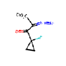 CCOC(=O)C(=[N+]=[N-])C(=O)C1(F)CC1